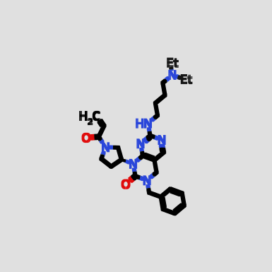 C=CC(=O)N1CC[C@H](N2C(=O)N(Cc3ccccc3)Cc3cnc(NCCCCN(CC)CC)nc32)C1